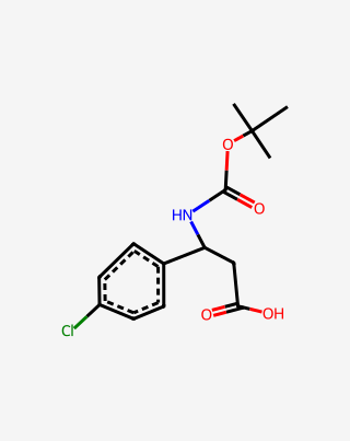 CC(C)(C)OC(=O)NC(CC(=O)O)c1ccc(Cl)cc1